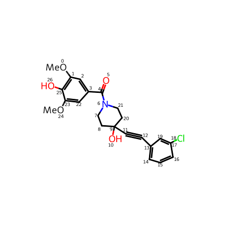 COc1cc(C(=O)N2CCC(O)(C#Cc3cccc(Cl)c3)CC2)cc(OC)c1O